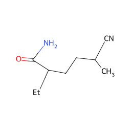 CCC(CCC(C)C#N)C(N)=O